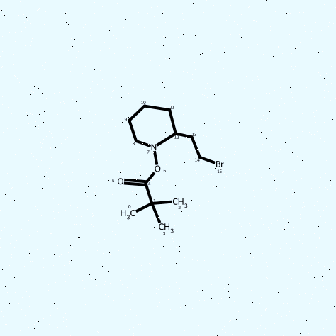 CC(C)(C)C(=O)ON1CCCCC1CCBr